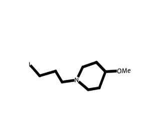 COC1CCN(CCCI)CC1